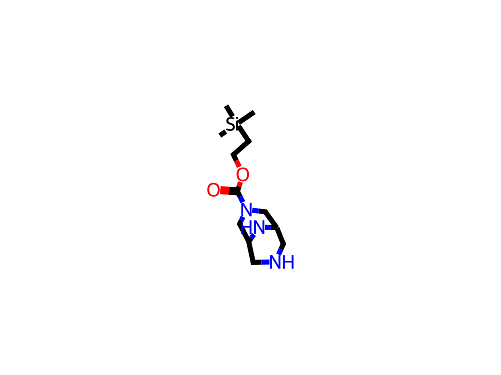 C[Si](C)(C)CCOC(=O)N1CC2CNCC(C1)N2